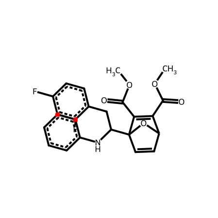 COC(=O)C1=C(C(=O)OC)C2(C(Cc3ccc(F)cc3F)Nc3ccccc3)C=CC1O2